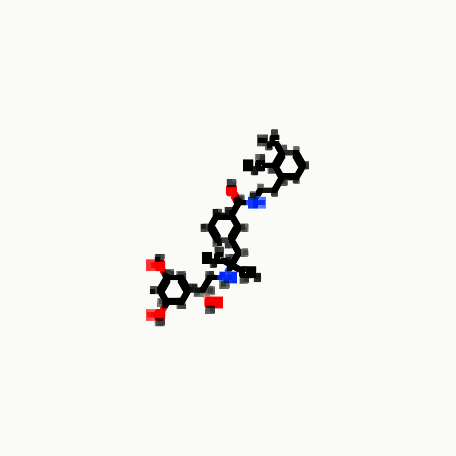 Cc1cccc(CCNC(=O)c2cccc(CC(C)(C)NC[C@H](O)c3cc(O)cc(O)c3)c2)c1C